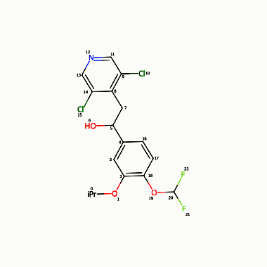 CC(C)Oc1cc(C(O)Cc2c(Cl)cncc2Cl)ccc1OC(F)F